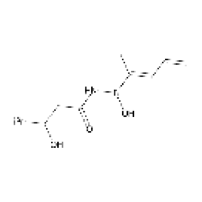 C=C/C=C(\C)B(O)NC(=O)CC(O)C(C)C